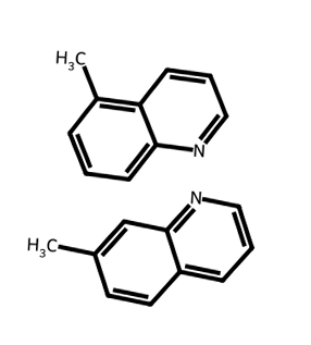 Cc1ccc2cccnc2c1.Cc1cccc2ncccc12